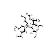 CCCC[N+](CCCC)(CCCC)CCCC.CCOC(=O)NC(C)C